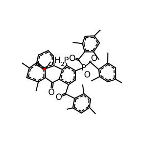 Cc1cc(C)c(C(=O)c2cc(P(=O)(C(=O)c3c(C)cc(C)cc3C)C(=O)c3c(C)cc(C)cc3C)c(P)c(-c3ccccc3)c2C(=O)c2c(C)cc(C)cc2C)c(C)c1